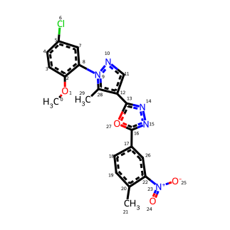 COc1ccc(Cl)cc1-n1ncc(-c2nnc(-c3ccc(C)c([N+](=O)[O-])c3)o2)c1C